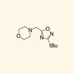 CC(C)(C)c1noc(CN2CCOCC2)n1